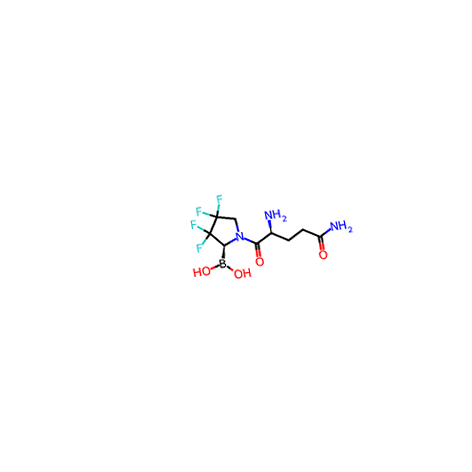 NC(=O)CC[C@H](N)C(=O)N1CC(F)(F)C(F)(F)[C@@H]1B(O)O